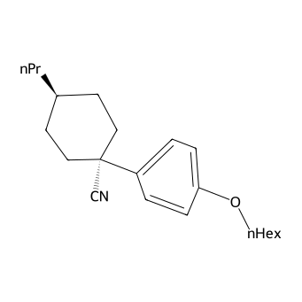 CCCCCCOc1ccc([C@]2(C#N)CC[C@H](CCC)CC2)cc1